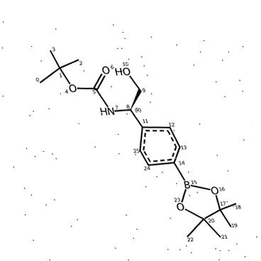 CC(C)(C)OC(=O)N[C@@H](CO)c1ccc(B2OC(C)(C)C(C)(C)O2)cc1